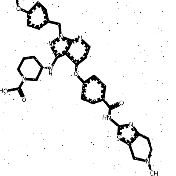 COc1ccc(Cn2nc(N[C@@H]3CCCN(C(=O)O)C3)c3c(Oc4ccc(C(=O)Nc5nc6c(s5)CN(C)CC6)cc4)ccnc32)cc1